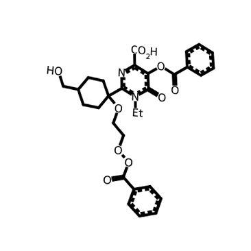 CCn1c(C2(OCCOOC(=O)c3ccccc3)CCC(CO)CC2)nc(C(=O)O)c(OC(=O)c2ccccc2)c1=O